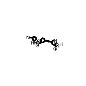 COc1n[nH]c2ncc(C#Cc3cccc(CS(=O)(=O)Nc4cccc(C#N)c4)c3)cc12